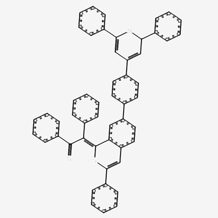 N=C(/C(=C1\NC(c2ccccc2)=Cc2ccc(-c3ccc(C4=CC(c5ccccc5)NC(c5ccccc5)=C4)cc3)cc21)c1ccccc1)c1ccccc1